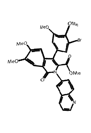 COC(=O)c1c(-c2cc(Br)c(OC)c(OC)c2)c2cc(OC)c(OC)cc2c(=O)n1-c1ccc2ncccc2c1